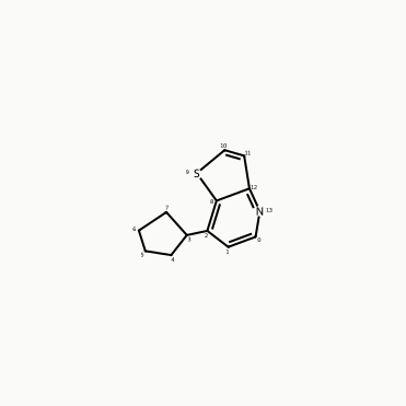 c1cc(C2CCCC2)c2sccc2n1